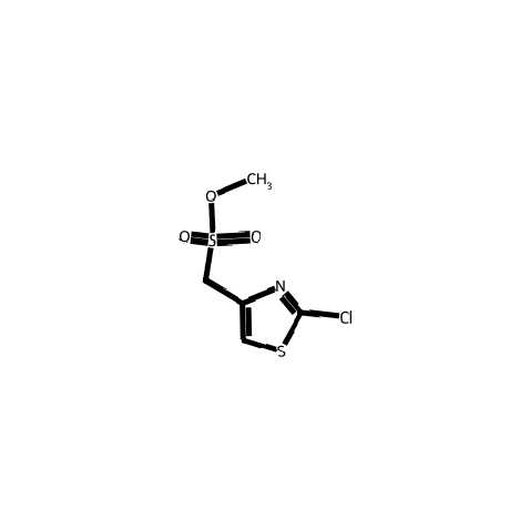 COS(=O)(=O)Cc1csc(Cl)n1